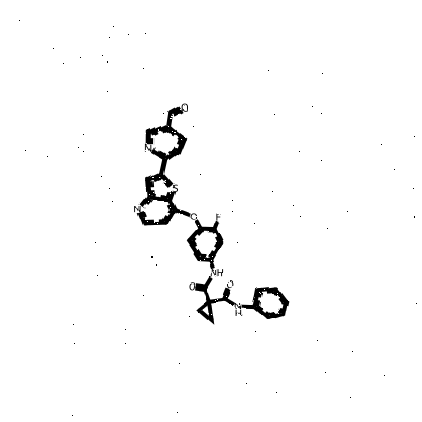 O=Cc1ccc(-c2cc3nccc(Oc4ccc(NC(=O)C5(C(=O)Nc6ccccc6)CC5)cc4F)c3s2)nc1